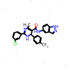 CC1=C(C(=O)Nc2ccc3[nH]ncc3c2)C(c2ccc(C(F)(F)F)cc2)NC(c2cccc(Cl)c2)=N1